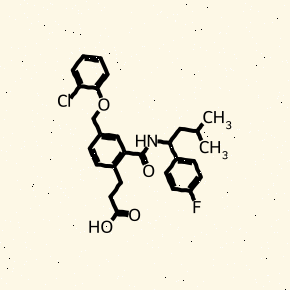 CC(C)CC(NC(=O)c1cc(COc2ccccc2Cl)ccc1CCC(=O)O)c1ccc(F)cc1